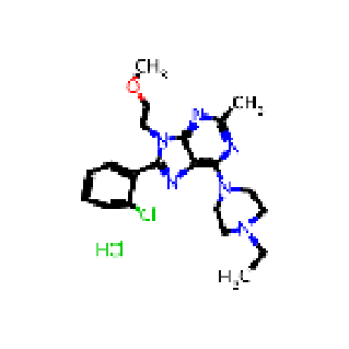 CCN1CCN(c2nc(C)nc3c2nc(-c2ccccc2Cl)n3CCOC)CC1.Cl